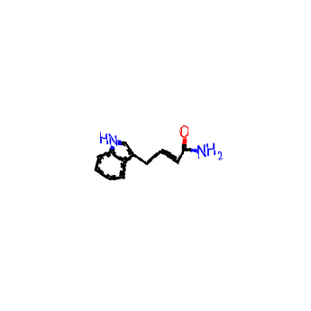 NC(=O)C=CCc1c[nH]c2ccccc12